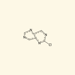 Clc1ncc2ncncc2n1